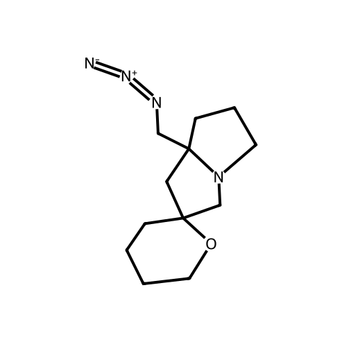 [N-]=[N+]=NCC12CCCN1CC1(CCCCO1)C2